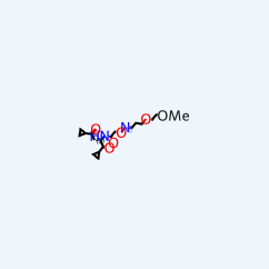 COCCOCC/C=N/OCC(=O)N[C@@H](CC(=O)C1CC1)C(=O)C1CC1